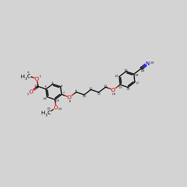 COC(=O)c1ccc(OCCCCCOc2ccc(C#N)cc2)c(OC)c1